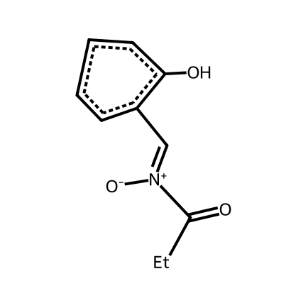 CCC(=O)[N+]([O-])=Cc1ccccc1O